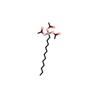 CCCCCCCCCCCC[Si](OC(C)=O)(OC(C)=O)OC(C)=O